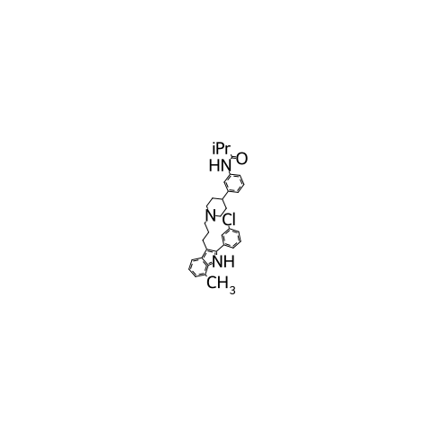 Cc1cccc2c(CCCN3CCC(c4cccc(NC(=O)C(C)C)c4)CC3)c(-c3cccc(Cl)c3)[nH]c12